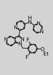 CCOc1cc(F)c(Cn2nc(-c3cc(Nc4ccncn4)ccn3)c3cnccc32)c(F)c1